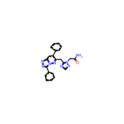 NC(=O)Cn1ncnc1Cc1nn2c(-c3ccccc3)nnc2cc1-c1ccccc1